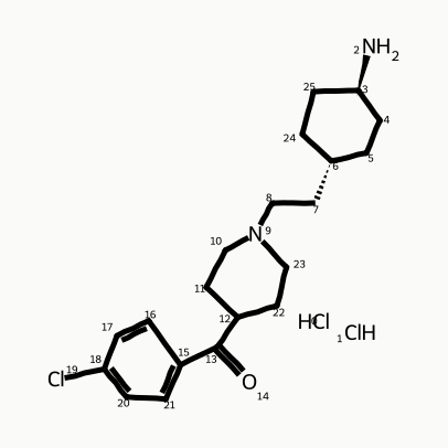 Cl.Cl.N[C@H]1CC[C@H](CCN2CCC(C(=O)c3ccc(Cl)cc3)CC2)CC1